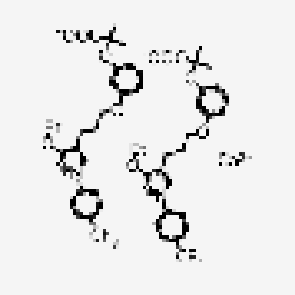 CCOc1nn(-c2ccc(C(F)(F)F)cc2)cc1CCCOc1cccc(OC(C)(C)C(=O)[O-])c1.CCOc1nn(-c2ccc(C(F)(F)F)cc2)cc1CCCOc1cccc(OC(C)(C)C(=O)[O-])c1.[Ca+2]